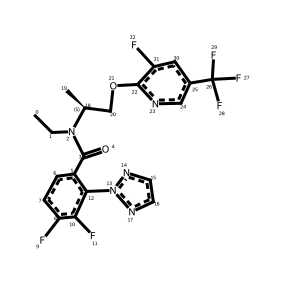 CCN(C(=O)c1ccc(F)c(F)c1-n1nccn1)[C@@H](C)COc1ncc(C(F)(F)F)cc1F